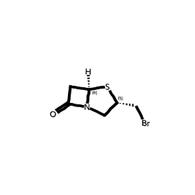 O=C1C[C@H]2S[C@H](CBr)CN12